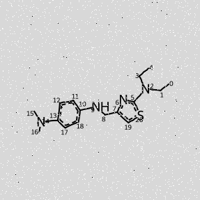 CCN(CC)c1nc(CNc2ccc(N(C)C)cc2)cs1